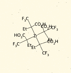 CC[C](C(=O)O)(C(F)(F)F)[Zr]([C](CC)(C(=O)O)C(F)(F)F)([C](CC)(C(=O)O)C(F)(F)F)[C](CC)(C(=O)O)C(F)(F)F